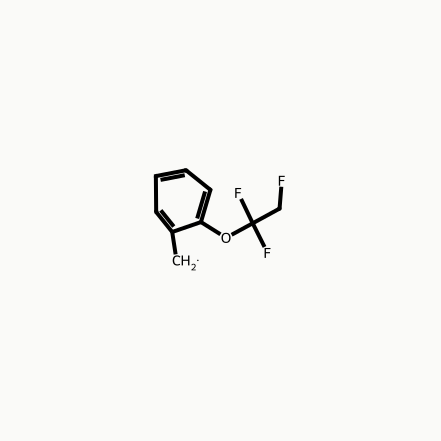 [CH2]c1ccccc1OC(F)(F)CF